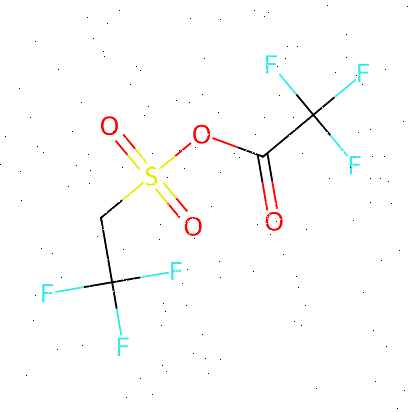 O=C(OS(=O)(=O)CC(F)(F)F)C(F)(F)F